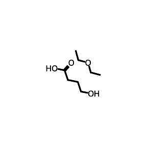 CCOCC.O=C(O)CCCO